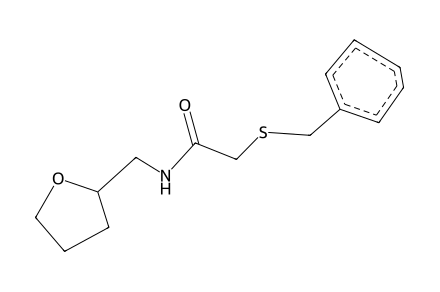 O=C(CSCc1ccccc1)NCC1CCCO1